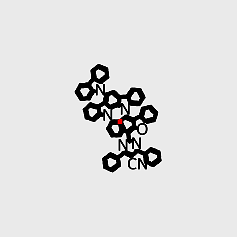 N#Cc1c(-c2ccccc2)nc(-c2ccc(-n3c4ccccc4c4cc(-n5c6ccccc6c6ccccc65)c5c6ccccc6n(-c6ccccc6)c5c43)c3c2oc2ccccc23)nc1-c1ccccc1